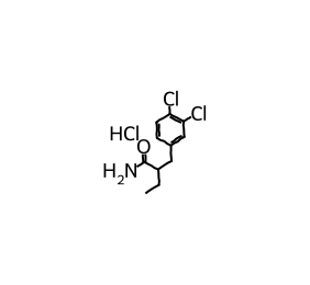 CCC(Cc1ccc(Cl)c(Cl)c1)C(N)=O.Cl